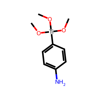 C[O][Ti]([O]C)([O]C)[c]1ccc(N)cc1